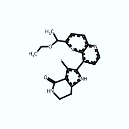 CCOC(C)c1ccc2nccc(-c3[nH]c4c(c3I)C(=O)NCC4)c2n1